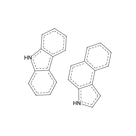 c1ccc2c(c1)[nH]c1ccccc12.c1ccc2c(c1)ccc1[nH]ccc12